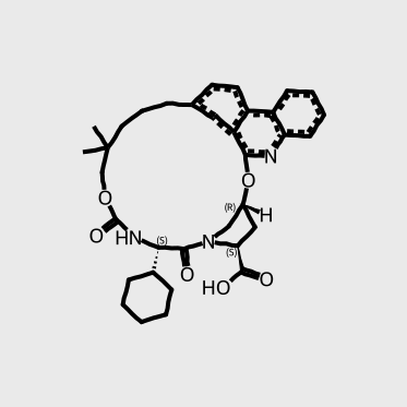 CC1(C)CCCc2ccc3c(c2)c(nc2ccccc23)O[C@@H]2C[C@@H](C(=O)O)N(C2)C(=O)[C@H](C2CCCCC2)NC(=O)OC1